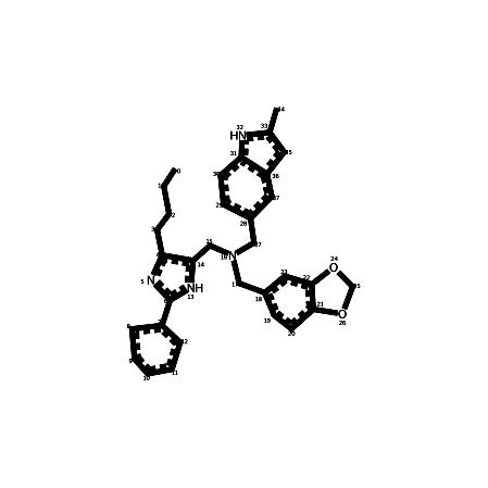 CCCCc1nc(-c2ccccc2)[nH]c1CN(Cc1ccc2c(c1)OCO2)Cc1ccc2[nH]c(C)cc2c1